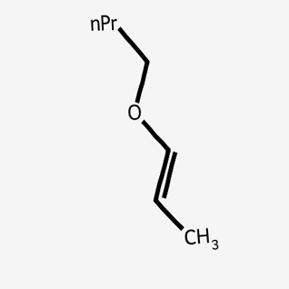 CC=COCCCC